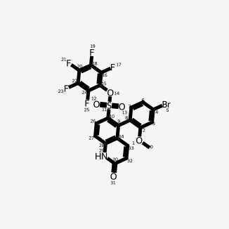 COc1cc(Br)ccc1-c1c(S(=O)(=O)Oc2c(F)c(F)c(F)c(F)c2F)ccc2[nH]c(=O)ccc12